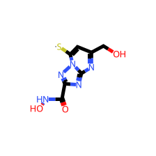 O=C(NO)c1nc2nc(CO)cc([S])n2n1